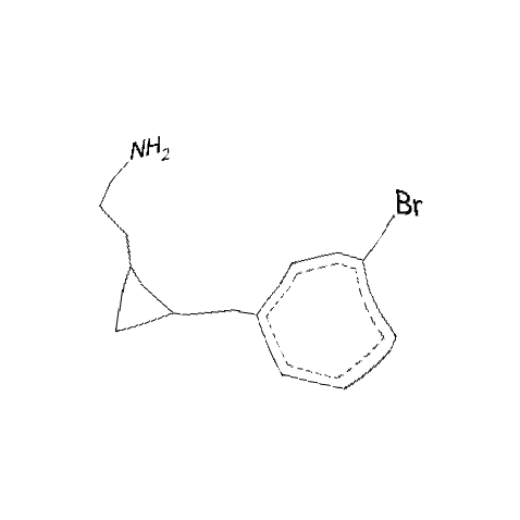 NCC1CC1c1cccc(Br)c1